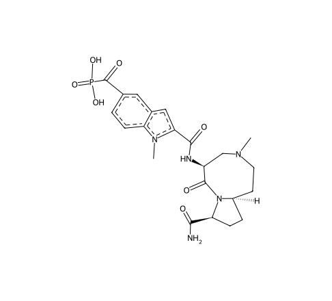 CN1CC[C@H]2CC[C@@H](C(N)=O)N2C(=O)[C@@H](NC(=O)c2cc3cc(C(=O)P(=O)(O)O)ccc3n2C)C1